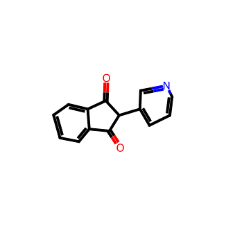 O=C1c2ccccc2C(=O)C1c1cccnc1